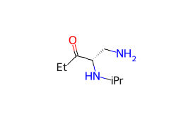 CCC(=O)[C@H](CN)NC(C)C